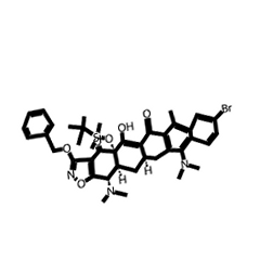 Cc1c2c(c(N(C)C)c3ccc(Br)cc13)C[C@H]1C[C@H]3[C@H](N(C)C)c4onc(OCc5ccccc5)c4C(=O)[C@@]3(O[Si](C)(C)C(C)(C)C)C(O)=C1C2=O